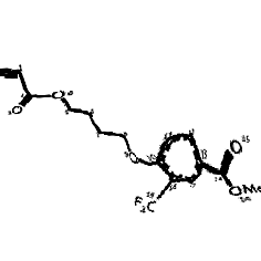 C=CC(=O)OCCCCOc1ccc(C(=O)OC)cc1C(F)(F)F